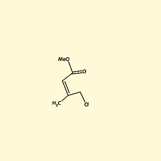 COC(=O)C=C(C)CCl